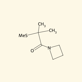 CSC(C)(C)C(=O)N1CCC1